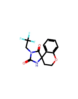 O=C1NC2(CCOc3ccccc32)C(=O)N1CC(F)(F)F